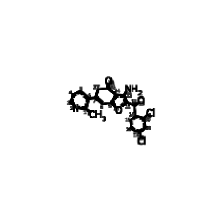 Cc1ncccc1C1=Cc2oc(C(=O)c3ccc(Cl)cc3Cl)c(N)c2C(=O)C1